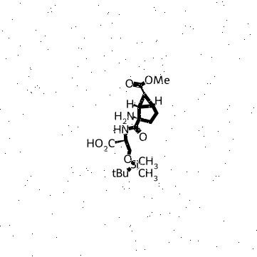 COC(=O)[C@H]1[C@@H]2CC[C@@](N)(C(=O)N[C@@H](CO[Si](C)(C)C(C)(C)C)C(=O)O)[C@@H]21